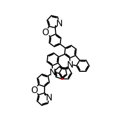 c1ccc(-n2c3ccccc3c3ccc(-c4ccc5oc6cccnc6c5c4)c(-c4cccc5c4c4ccccc4n5-c4ccc5oc6cccnc6c5c4)c32)cc1